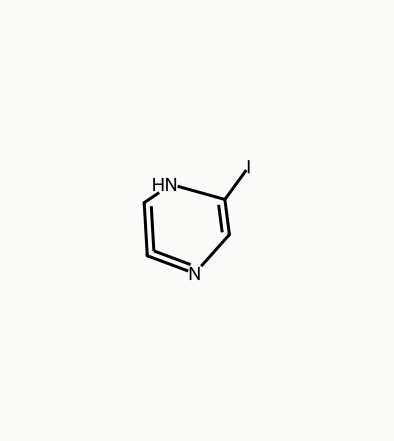 IC1=CN=C=CN1